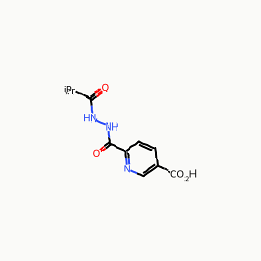 CC(C)C(=O)NNC(=O)c1ccc(C(=O)O)cn1